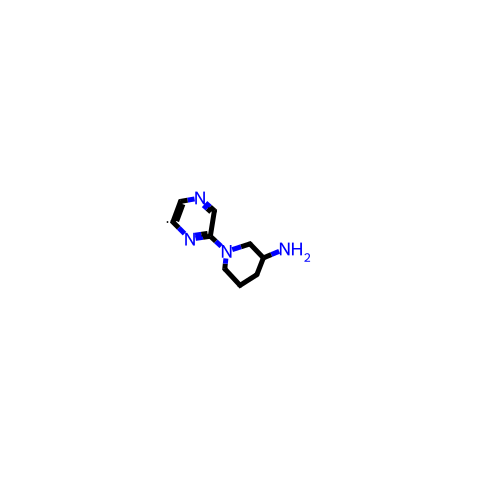 NC1CCCN(c2cnc[c]n2)C1